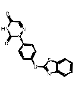 O=c1cnn(-c2ccc(Oc3nc4ccccc4s3)cc2)c(=O)[nH]1